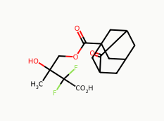 CC(O)(COC(=O)C12CC3CC(C1)C(=O)C(C3)C2)C(F)(F)C(=O)O